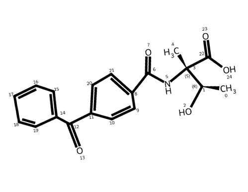 C[C@@H](O)[C@](C)(NC(=O)c1ccc(C(=O)c2ccccc2)cc1)C(=O)O